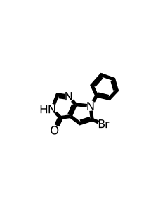 O=c1[nH]cnc2c1cc(Br)n2-c1ccccc1